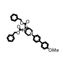 COc1ccc(-c2ccc(N3CC4CC(C3)N(C(=O)OCc3ccccc3)N4C(=O)OCc3ccccc3)cc2)cc1